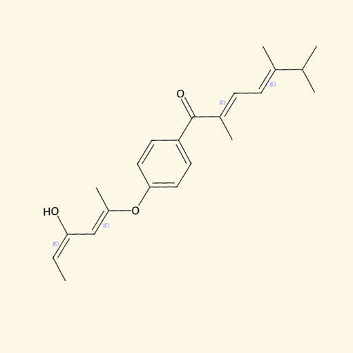 C/C=C(O)\C=C(/C)Oc1ccc(C(=O)/C(C)=C/C=C(\C)C(C)C)cc1